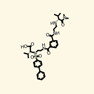 CC(C)[C@@H](NCCNC(=O)c1cccc(C(=O)NCCN([C@@H](C(=O)O)C(C)C)S(=O)(=O)c2ccc(-c3ccccc3)cc2)c1)C(=O)N(C)C